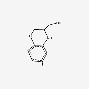 Cc1ccc2c(c1)NC(CO)CO2